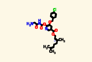 CC(C)=CCC/C(C)=C/COC(=O)c1cnc(OC(=O)NC(=O)CN)c(OCc2ccc(Cl)cc2)c1